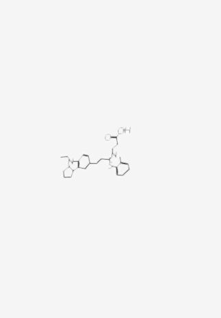 CCN1c2ccc(/C=C/C(=N\CCC(=O)O)Sc3ccccc3C)cc2C2CCCC21